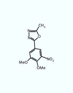 COc1cc(-c2nnc(C)o2)cc([N+](=O)[O-])c1OC